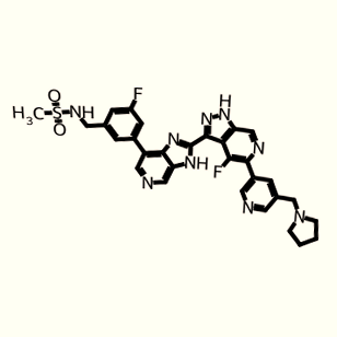 CS(=O)(=O)NCc1cc(F)cc(-c2cncc3[nH]c(-c4n[nH]c5cnc(-c6cncc(CN7CCCC7)c6)c(F)c45)nc23)c1